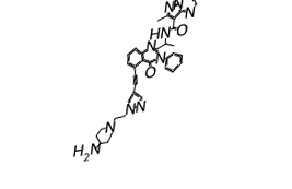 Cc1nn2cccnc2c1C(=O)NC(C)c1nc2cccc(C#Cc3cnn(CCN4CCC(N)CC4)c3)c2c(=O)n1-c1ccccc1